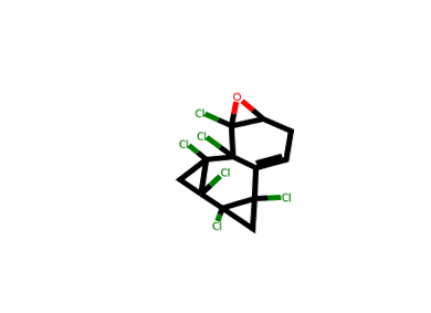 ClC12CC1(Cl)C1(Cl)CC1(Cl)C1(Cl)C2=CCC2OC21Cl